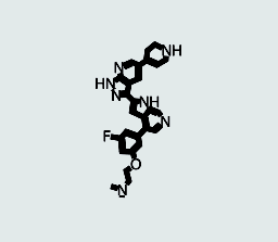 CN(C)CCOc1cc(F)cc(-c2cncc3[nH]c(-c4n[nH]c5ncc(C6=CCNCC6)cc45)cc23)c1